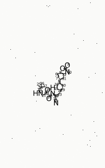 Cn1c(=O)oc2ccc(-c3ccc(C[C@@H](C#N)NC(=O)[C@@H]4CNCC(C)(C)CO4)cc3)cc21